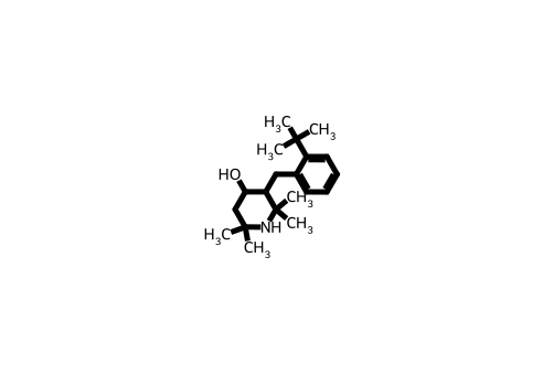 CC1(C)CC(O)C(Cc2ccccc2C(C)(C)C)C(C)(C)N1